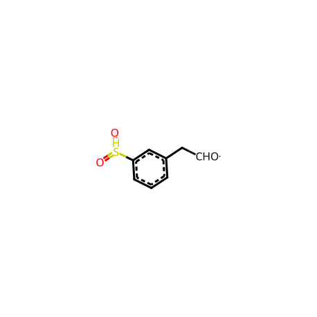 O=[C]Cc1cccc([SH](=O)=O)c1